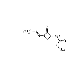 CC(C)(C)OC(=O)NC1CN(N=CC(=O)O)C1=O